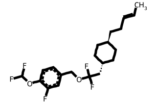 C/C=C/CC[C@H]1CC[C@H](CC(F)(F)OCc2ccc(OC(F)F)c(F)c2)CC1